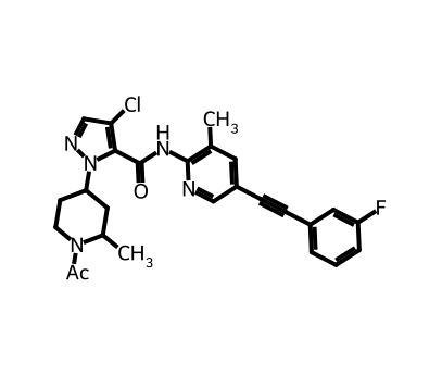 CC(=O)N1CCC(n2ncc(Cl)c2C(=O)Nc2ncc(C#Cc3cccc(F)c3)cc2C)CC1C